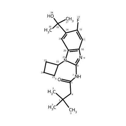 CC(C)(C)CC(=O)Nc1nc2cc(F)c(C(C)(C)O)cc2n1C1CCC1